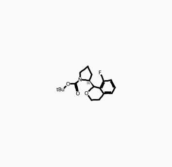 CC(C)(C)OC(=O)N1CCC[C@H]1C1OCCc2cccc(F)c21